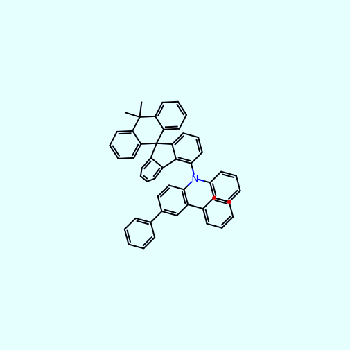 CC1(C)c2ccccc2C2(c3ccccc3-c3c(N(c4ccccc4)c4ccc(-c5ccccc5)cc4-c4ccccc4)cccc32)c2ccccc21